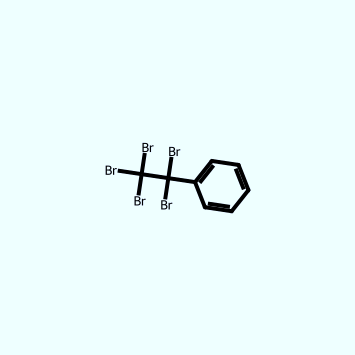 BrC(Br)(Br)C(Br)(Br)c1ccccc1